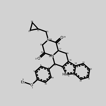 CCOc1ccc(C2c3[nH]c4ccccc4c3CC3C(=O)N(CC4CC4)CC(=O)N32)cc1